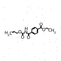 C=CCOC(=O)NC(=O)c1ccc(C(=O)OCC)cc1